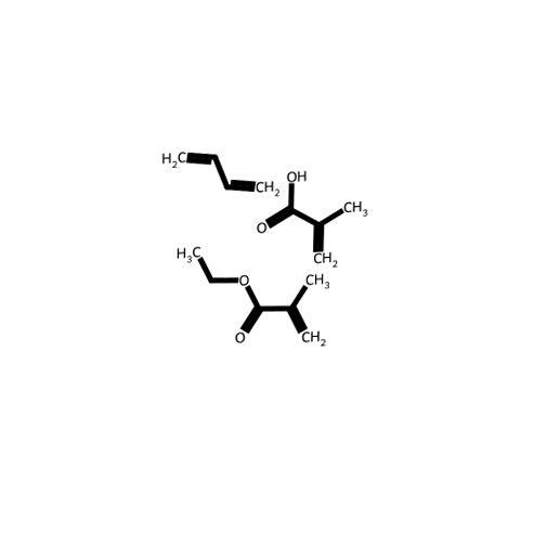 C=C(C)C(=O)O.C=C(C)C(=O)OCC.C=CC=C